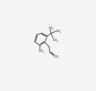 C=CCc1c(C)cccc1C(C)(C)C